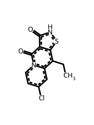 CCc1c2s[nH]c(=O)c2c(=O)n2ccc(Cl)cc12